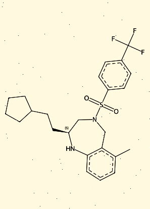 Cc1cccc2c1CN(S(=O)(=O)c1ccc(C(F)(F)F)cc1)C[C@H](CCC1CCCC1)N2